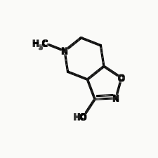 CN1CCC2ON=C(O)C2C1